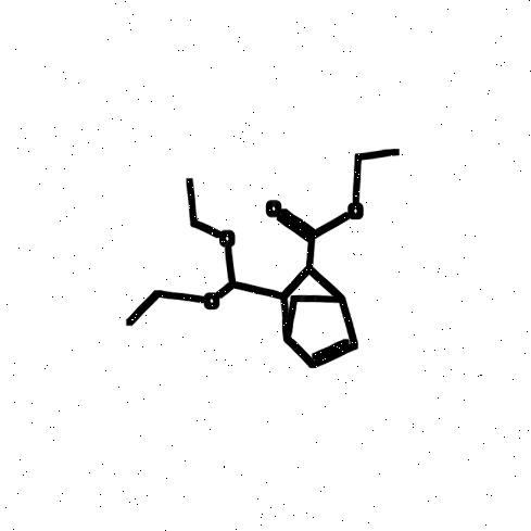 CCOC(=O)C1C2C=CC(C2)C1C(OCC)OCC